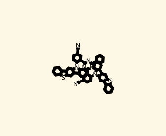 N#Cc1ccc(-n2c3ccccc3c3cc4sc5ccccc5c4cc32)c(-c2nc(-c3ccccc3)nc(-c3cc(C#N)ccc3-n3c4ccccc4c4cc5sc6ccccc6c5cc43)n2)c1